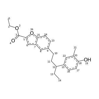 CCOC(=O)c1cc2cc(CCC(CC)c3ccc(O)c(C)c3)ccc2o1